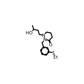 CCSc1cccc(CN2C(=O)CCCN2CCC(C)O)c1